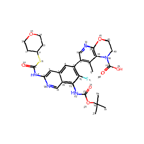 Cc1c(-c2cc3cc(NC(=O)SC4CCOCC4)ncc3c(NC(=O)OC(C)(C)C)c2F)cnc2c1N(C(=O)O)CCO2